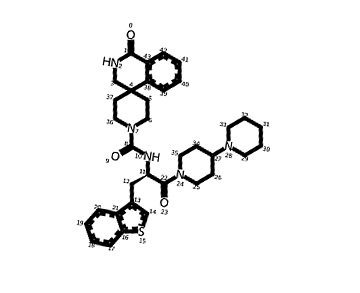 O=C1NCC2(CCN(C(=O)N[C@H](Cc3csc4ccccc34)C(=O)N3CCC(N4CCCCC4)CC3)CC2)c2ccccc21